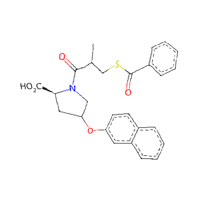 CC(CSC(=O)c1ccccc1)C(=O)N1CC(Oc2ccc3ccccc3c2)C[C@H]1C(=O)O